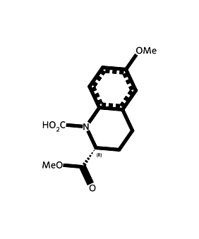 COC(=O)[C@H]1CCc2cc(OC)ccc2N1C(=O)O